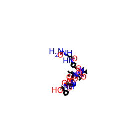 CC[C@H](C)[C@@H]([C@@H](CC(=O)N1CCCC1[C@H](OC)[C@@H](C)C(=O)N[C@H](C)[C@@H](O)c1ccccc1)OC)N(C)C(=O)[C@@H](NC(=O)C(C(C)C)N(C)C(=O)OCc1ccc(NC(=O)[C@@H](C)CCCNC(N)=O)cc1)C(C)C